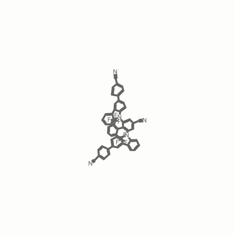 N#Cc1ccc(-c2ccc3c(c2)c2ccccc2n3-c2cc(C#N)cc(-n3c4ccccc4c4cc(-c5ccc(C#N)cc5)ccc43)c2-c2c(C(F)(F)F)cccc2C(F)(F)F)cc1